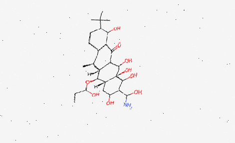 CCC(O)O[C@H]1[C@H]2C(C(=O)C3C(O)C(C(C)(C)C)CCC3[C@@H]2C)C(O)[C@]2(O)C(O)C(C(N)O)C(O)C[C@H]12